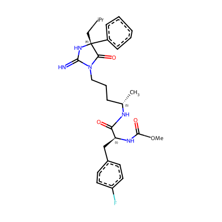 COC(=O)N[C@@H](Cc1ccc(F)cc1)C(=O)N[C@@H](C)CCCN1C(=N)N[C@](CC(C)C)(c2ccccc2)C1=O